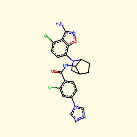 Nc1noc2c(N3CC4CCC3C4NC(=O)c3ccc(-n4cnnc4)cc3Cl)ccc(Cl)c12